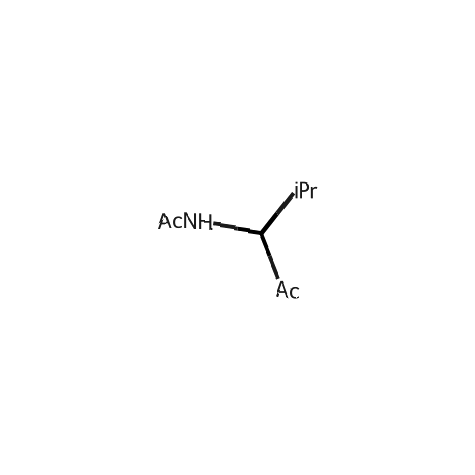 CC(=O)NC(C(C)=O)C(C)C